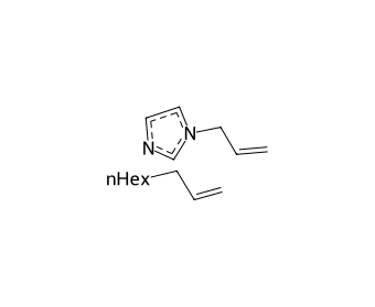 C=CCCCCCCC.C=CCn1ccnc1